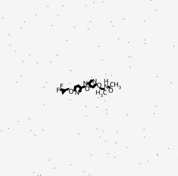 CC(=O)N[C@@H](C)COc1cc2oc(-c3ccc(OCC4CC4(F)F)nc3)nc2cn1